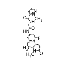 Cc1c(-c2c(F)cc(NC(=O)CNC(=O)c3ccnn3C)cc2F)ccc(=O)n1C